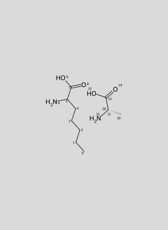 CCCCCC(N)C(=O)O.C[C@H](N)C(=O)O